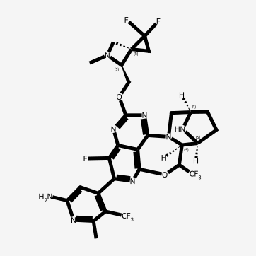 Cc1nc(N)cc(-c2nc3c4c(nc(OC[C@H]5N(C)C[C@]56CC6(F)F)nc4c2F)N2C[C@H]4CC[C@H](N4)[C@H]2C(C(F)(F)F)O3)c1C(F)(F)F